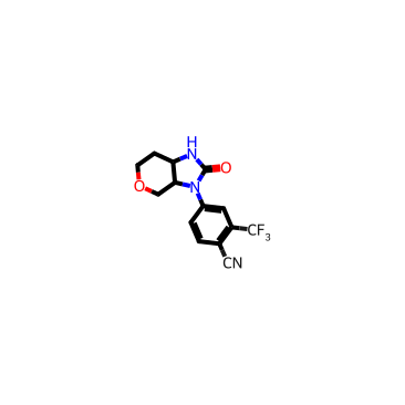 N#Cc1ccc(N2C(=O)NC3CCOCC32)cc1C(F)(F)F